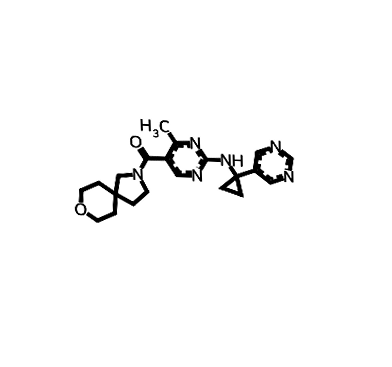 Cc1nc(NC2(c3cncnc3)CC2)ncc1C(=O)N1CCC2(CCOCC2)C1